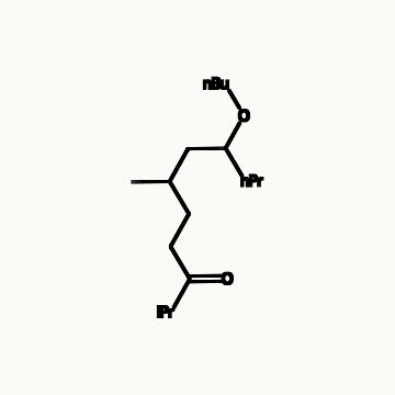 CCCCOC(CCC)CC(C)CCC(=O)C(C)C